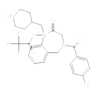 O=C(c1ccc(Cl)cc1)N1CC(=O)[N+](CC2CCNCC2)(OC(=O)C(F)(F)F)c2ccccc2C1